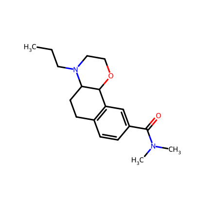 CCCN1CCOC2c3cc(C(=O)N(C)C)ccc3CCC21